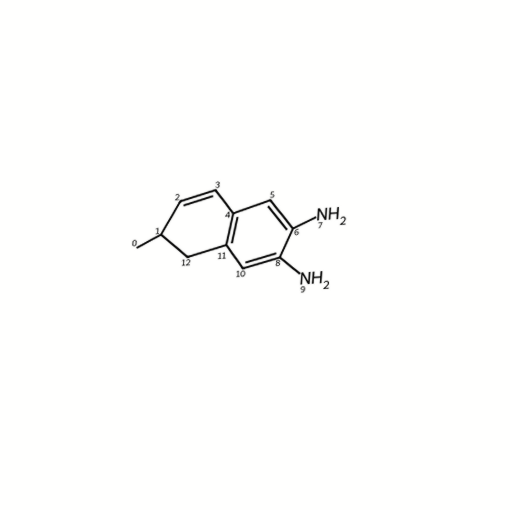 CC1C=Cc2cc(N)c(N)cc2C1